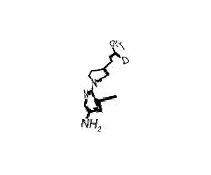 Cc1cc(N)cnc1N1CCC(CC(=O)O)CC1